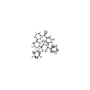 O=C1c2ccccc2C(c2cccc(-c3ncncn3)c2)(c2cccc(-c3ncncn3)c2)c2ccccc21